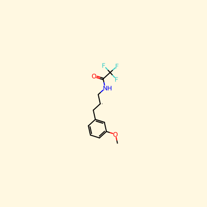 COc1cccc(C[CH]CNC(=O)C(F)(F)F)c1